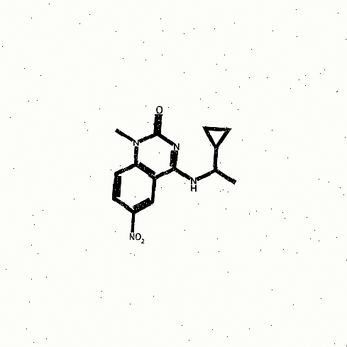 CC(Nc1nc(=O)n(C)c2ccc([N+](=O)[O-])cc12)C1CC1